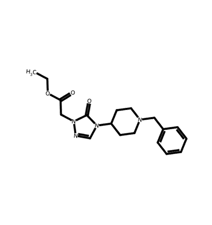 CCOC(=O)Cn1ncn(C2CCN(Cc3ccccc3)CC2)c1=O